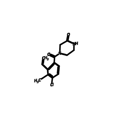 C=Cc1c(C(=O)N2CCNC(=O)C2)ccc(Cl)c1C